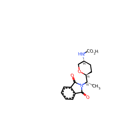 C[C@@H]([C@@H]1CC[C@@H](NC(=O)O)CO1)N1C(=O)c2ccccc2C1=O